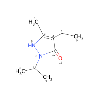 CCc1c(C)[nH]n(C(C)C)c1=O